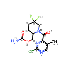 Cc1cnc(Cl)nc1C(=O)N1CC(F)(F)CCC1COC(N)=O